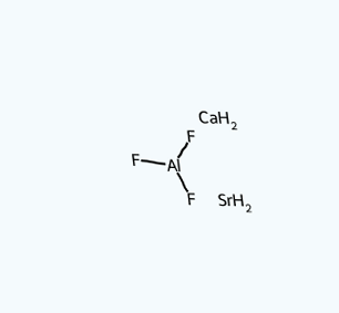 [CaH2].[F][Al]([F])[F].[SrH2]